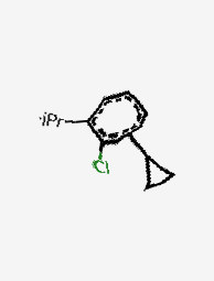 C[C](C)c1cccc(C2CC2)c1Cl